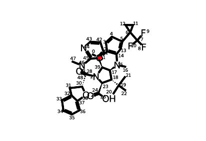 COc1ccc(C2(C(F)(F)F)CC2)cc1N(C)[C@H]1[C@H](C(C)(C)C)[C@@H](C(=O)O)N(C(=O)[C@H]2Cc3ccccc3O2)[C@H]1c1cccnc1N(C)C